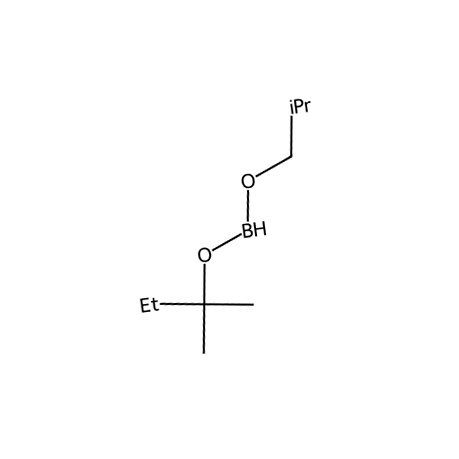 CCC(C)(C)OBOCC(C)C